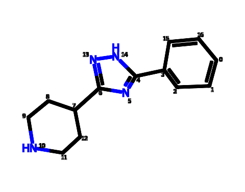 c1ccc(-c2nc(C3CCNCC3)n[nH]2)cc1